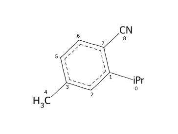 [CH2]C(C)c1cc(C)ccc1C#N